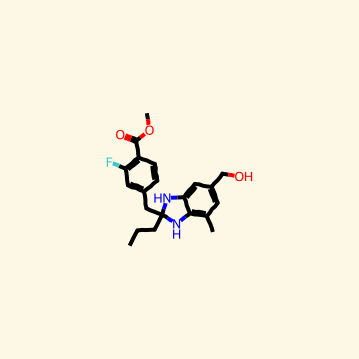 CCCC1(Cc2ccc(C(=O)OC)c(F)c2)Nc2cc(CO)cc(C)c2N1